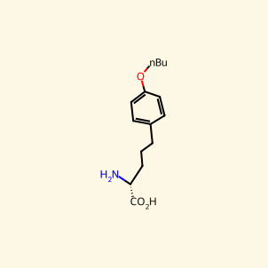 CCCCOc1ccc(CCC[C@@H](N)C(=O)O)cc1